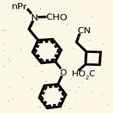 CCCN(C=O)Cc1ccc(Oc2ccccc2)cc1.N#CCC1CCC1C(=O)O